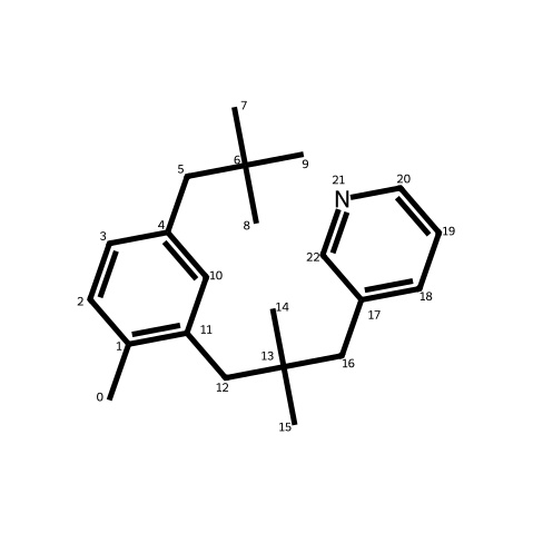 Cc1ccc(CC(C)(C)C)cc1CC(C)(C)Cc1cccnc1